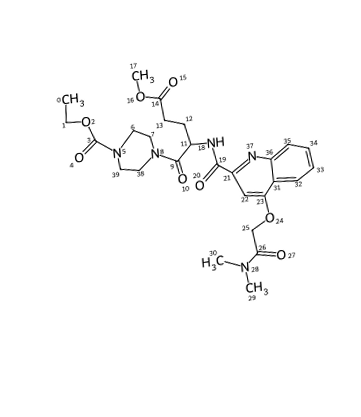 CCOC(=O)N1CCN(C(=O)C(CCC(=O)OC)NC(=O)c2cc(OCC(=O)N(C)C)c3ccccc3n2)CC1